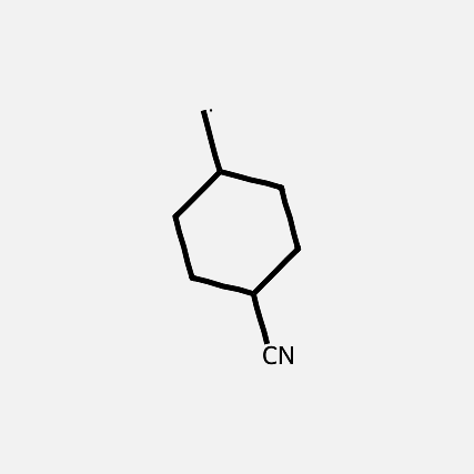 [CH2]C1CCC(C#N)CC1